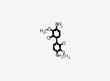 COc1c(N)ccc(-c2ccc(N)c(OC)c2Cl)c1Cl